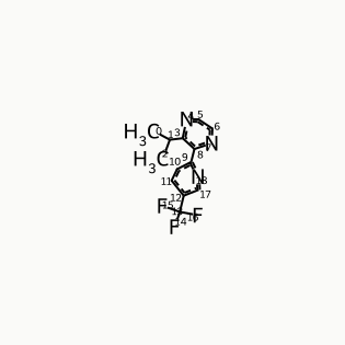 CC(C)c1nccnc1-c1ccc(C(F)(F)F)cn1